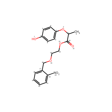 CC(Oc1ccc(O)cc1)C(=O)OCCOCc1ccccc1[N+](=O)[O-]